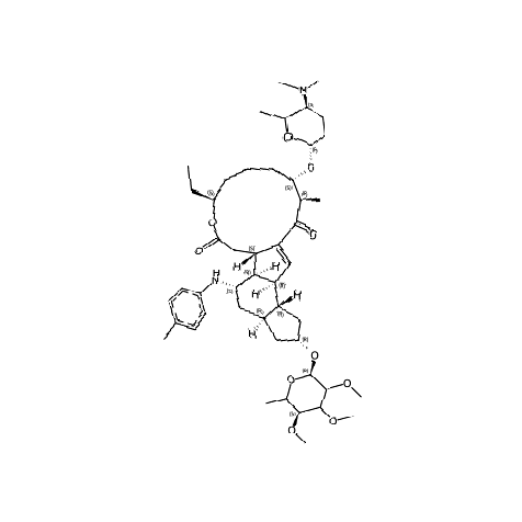 CC[C@H]1CCC[C@H](O[C@H]2CC[C@H](N(C)C)C(C)O2)[C@@H](C)C(=O)C2=C[C@H]3[C@@H]4C[C@H](O[C@@H]5OC(C)[C@H](OC)C(OC)C5OC)C[C@H]4C[C@H](Nc4ccc(C)cc4)[C@H]3[C@@H]2CC(=O)O1